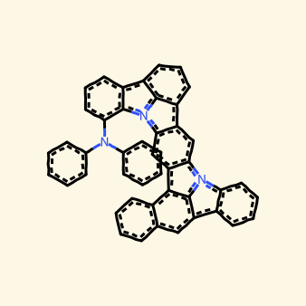 c1ccc(N(c2ccccc2)c2cccc3c4cccc5c6cc7c(cc6n(c23)c54)c2c3ccccc3cc3c4ccccc4n7c32)cc1